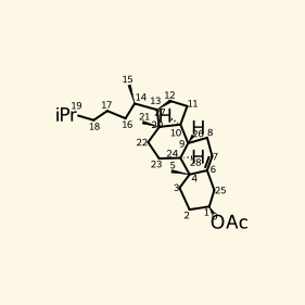 CC(=O)O[C@H]1CC[C@@]2(C)C(=CC[C@H]3[C@@H]4CC[C@H]([C@H](C)CCCC(C)C)[C@@]4(C)CC[C@@H]32)C1